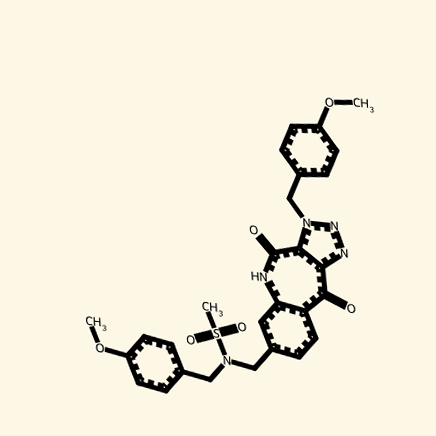 COc1ccc(CN(Cc2ccc3c(=O)c4nnn(Cc5ccc(OC)cc5)c4c(=O)[nH]c3c2)S(C)(=O)=O)cc1